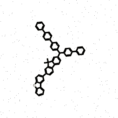 CC1(C)c2cc(-c3ccc4oc5ccccc5c4c3)ccc2-c2ccc(C(c3ccc(-c4ccccc4)cc3)c3ccc(-c4ccc(-c5ccccc5)cc4)cc3)cc21